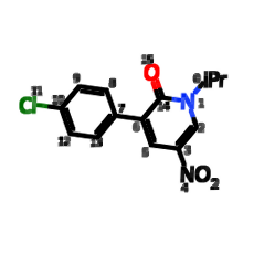 CC(C)n1cc([N+](=O)[O-])cc(-c2ccc(Cl)cc2)c1=O